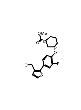 COC(=O)[C@H]1CCC[C@H](Oc2ccc(-c3sccc3CO)cc2F)C1